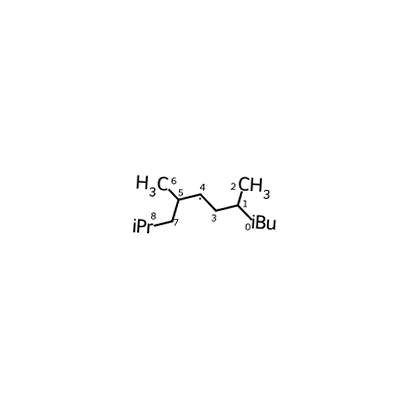 CCC(C)C(C)C[CH]C(C)CC(C)C